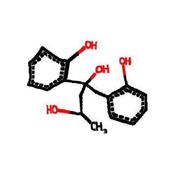 CC(O)C(O)(c1ccccc1O)c1ccccc1O